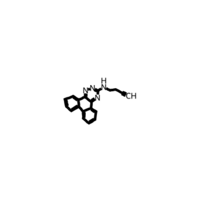 C#CCCNc1nnc2c3ccccc3c3ccccc3c2n1